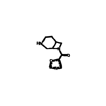 O=C(c1cnco1)N1CC2CCNCC21